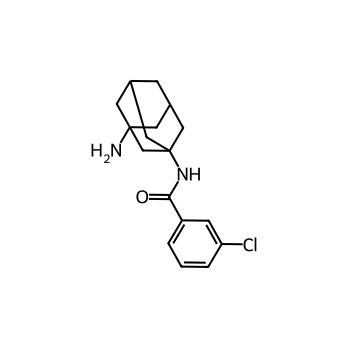 NC12CC3CC(C1)CC(NC(=O)c1cccc(Cl)c1)(C3)C2